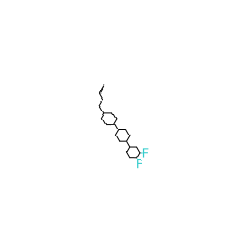 C=CCCC1CCC(C2CCC(C3CCC(F)C(F)C3)CC2)CC1